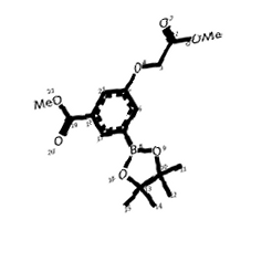 COC(=O)COc1cc(B2OC(C)(C)C(C)(C)O2)cc(C(=O)OC)c1